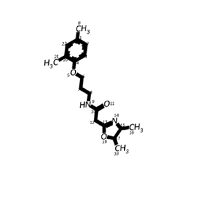 Cc1ccc(OCCCNC(=O)CC2=NC(C)C(C)O2)c(C)c1